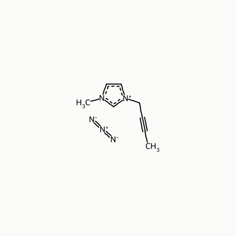 CC#CC[n+]1ccn(C)c1.[N-]=[N+]=[N-]